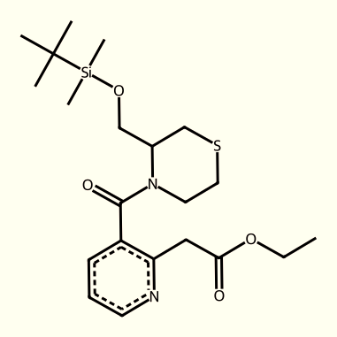 CCOC(=O)Cc1ncccc1C(=O)N1CCSCC1CO[Si](C)(C)C(C)(C)C